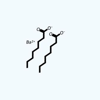 CCCCCCCC(=O)[O-].CCCCCCCC(=O)[O-].[Ba+2]